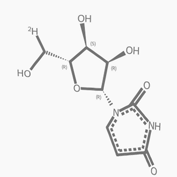 [2H]C(O)[C@H]1O[C@@H](n2ccc(=O)[nH]c2=O)[C@H](O)[C@@H]1O